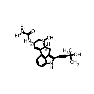 CCN(CC)C(=O)N[C@H]1C=C2c3cccc4[nH]c(C#CC(C)(C)O)c(c34)C[C@H]2N(C)C1